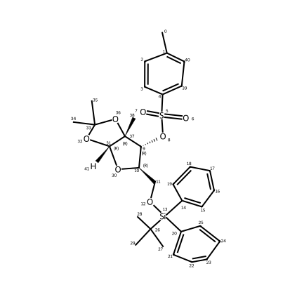 Cc1ccc(S(=O)(=O)O[C@@H]2[C@@H](CO[Si](c3ccccc3)(c3ccccc3)C(C)(C)C)O[C@@H]3OC(C)(C)O[C@@]32C)cc1